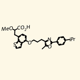 COC(Cc1ccc(OCCCc2nc(-c3ccc(C(C)C)cc3)oc2C)c2ccsc12)C(=O)O